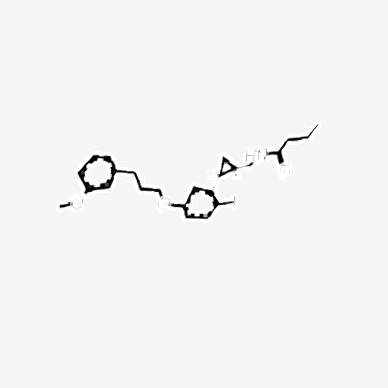 CCCC(=O)NC[C@@H]1C[C@H]1c1cc(OCCCc2cccc(OC)c2)ccc1I